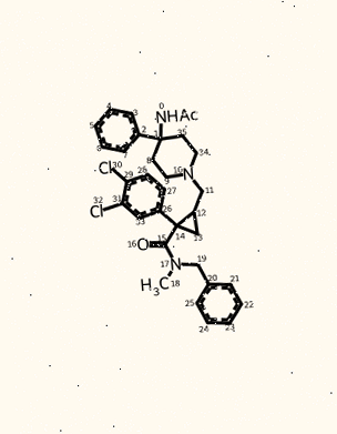 CC(=O)NC1(c2ccccc2)CCN(CC2CC2(C(=O)N(C)Cc2ccccc2)c2ccc(Cl)c(Cl)c2)CC1